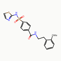 COc1ccccc1CCNC(=O)c1ccc(S(=O)(=O)Nc2nccs2)cc1